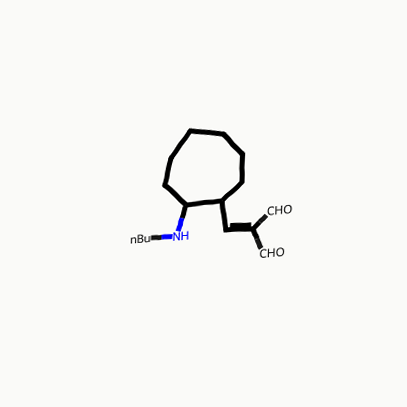 CCCCNC1CCCCCCC1C=C(C=O)C=O